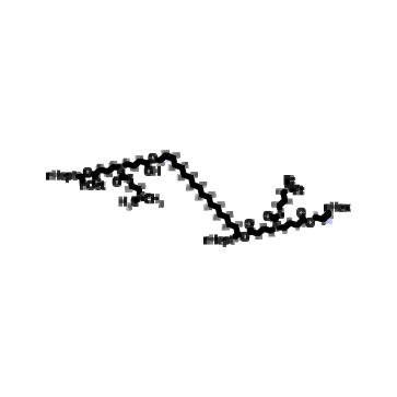 CCCCCC/C=C\COC(=O)CCCN(CCCC(=O)OC(CCCCCCC)CCCCCCCCCCCCCC/C=C\COC(O)CCCN(CCCC(=O)OC(CCCCCCC)CCCCCCCC)C(=O)SCCN(C)C)C(=O)SCCCN(CC)CC